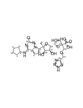 C[C@@]1(c2ccc3c(NC4CCCC4)nc(Cl)nn23)O[C@H](COC(CO)(COCc2nn[nH]n2)P(=O)(O)O)[C@@H](O)[C@H]1O